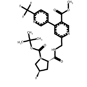 COC(=O)c1cnc(CNC(=O)[C@@H]2C[C@@H](F)CN2C(=O)OC(C)(C)C)cc1-c1ccc(C(F)(F)F)nc1